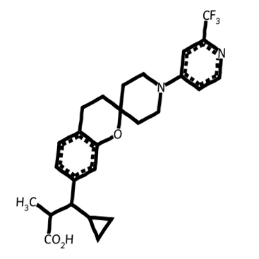 CC(C(=O)O)C(c1ccc2c(c1)OC1(CC2)CCN(c2ccnc(C(F)(F)F)c2)CC1)C1CC1